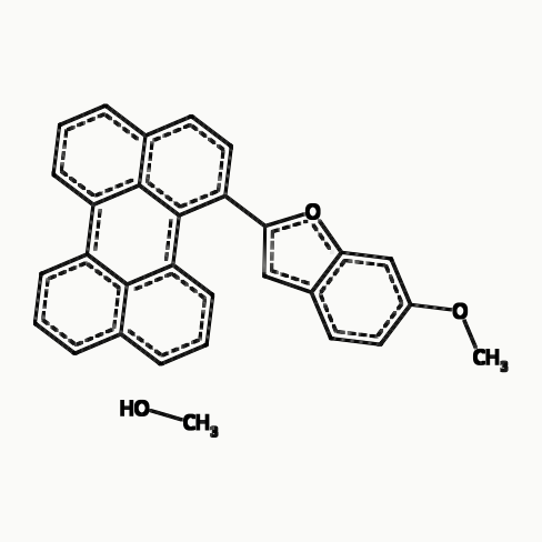 CO.COc1ccc2cc(-c3ccc4cccc5c6cccc7cccc(c3c45)c76)oc2c1